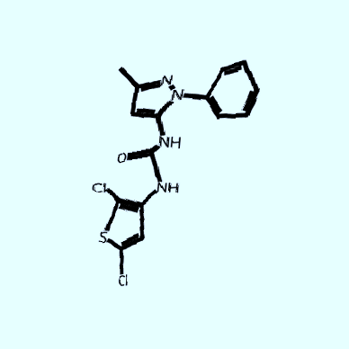 Cc1cc(NC(=O)Nc2cc(Cl)sc2Cl)n(-c2ccccc2)n1